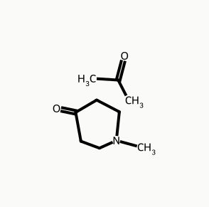 CC(C)=O.CN1CCC(=O)CC1